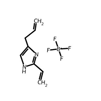 C=CCc1c[nH]c(C=C)n1.F[B-](F)(F)F